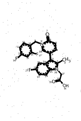 Cc1c(-c2ccc(=O)n(Cc3ccc(F)cc3F)c2)c2cc(F)ccc2n1CC(=O)O